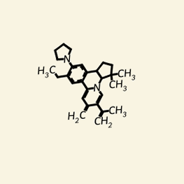 C=C(C)C1=CN2C(=CC1=C)c1cc(CC)c(N3CCCC3)cc1C1CCC(C)(C)C12